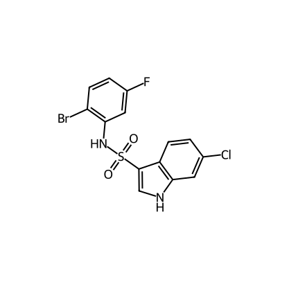 O=S(=O)(Nc1cc(F)ccc1Br)c1c[nH]c2cc(Cl)ccc12